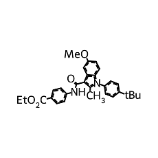 CCOC(=O)c1ccc(NC(=O)c2c(C)n(-c3ccc(C(C)(C)C)cc3)c3ccc(OC)cc23)cc1